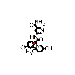 C[C@H]1CC[C@@](C)(c2cccc(Cl)c2)N(C(=O)C(=O)Nc2cncc(C(N)=O)c2)C1